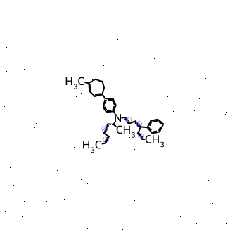 C/C=C\C=C/C(C)N(/C=C/C=C(\C=C/C)c1ccccc1)c1ccc(C2=CC=C(C)CCC2)cc1